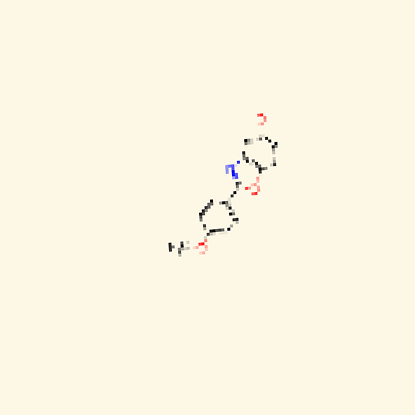 [O]c1ccc2oc(-c3ccc(OC(F)(F)F)cc3)nc2c1